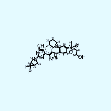 Cc1cc(-c2cn(-c3ccc(NS(=O)(=O)CCO)cc3N3CCCCC3)nn2)nc(N2CC3C(C2)C3(F)F)n1